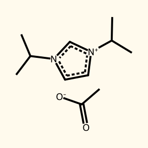 CC(=O)[O-].CC(C)n1cc[n+](C(C)C)c1